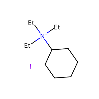 CC[N+](CC)(CC)C1CCCCC1.[I-]